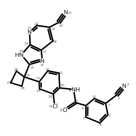 N#Cc1cccc(C(=O)Nc2ccc(C3(c4nc5cc(C#N)cnc5[nH]4)CCC3)cc2Cl)c1